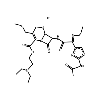 CCN(CC)CCOC(=O)C1=C(COC)CSC2C(NC(=O)C(=NOC)c3csc(NC(C)=O)n3)C(=O)N12.Cl